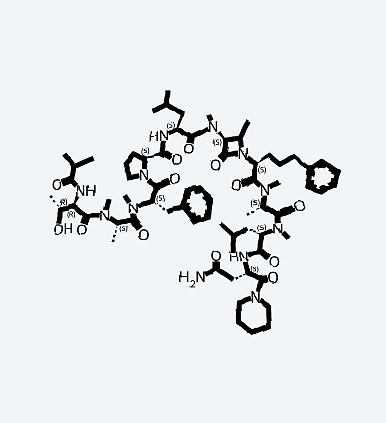 CC(C)C[C@H](NC(=O)[C@@H]1CCCN1C(=O)[C@H](Cc1ccccc1)N(C)C(=O)[C@H](C)N(C)C(=O)[C@H](NC(=O)C(C)C)[C@@H](C)O)C(=O)N(C)[C@@H]1C(=O)N([C@@H](CCCc2ccccc2)C(=O)N(C)[C@@H](C)C(=O)N(C)[C@@H](CC(C)C)C(=O)N[C@@H](CC(N)=O)C(=O)N2CCCCC2)C1C